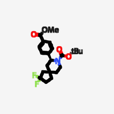 COC(=O)c1ccc([C@@H]2CC3(CCN2C(=O)OC(C)(C)C)CCC(F)(F)C3)cc1